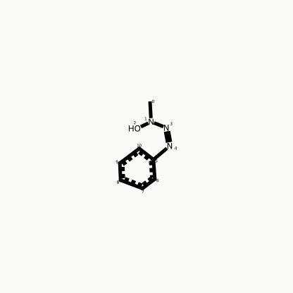 CN(O)/N=N\c1ccccc1